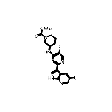 COC(=O)N1CCCC(Nc2nc(-c3c[nH]c4ncc(Cl)cc34)ncc2F)C1